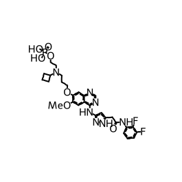 COc1cc2c(Nc3cc(CC(=O)Nc4cccc(F)c4F)[nH]n3)ncnc2cc1OCCCN(CCOP(=O)(O)O)C1CCC1